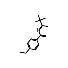 C=C(/N=C(\C)C(C)(C)C)c1ccc(CC)cc1